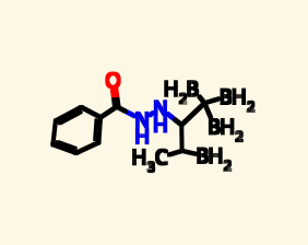 BC(C)C(NNC(=O)c1ccccc1)C(B)(B)B